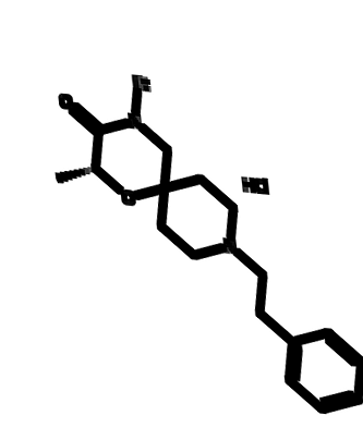 CCN1CC2(CCN(CCc3ccccc3)CC2)O[C@H](C)C1=O.Cl